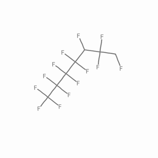 FCC(F)(F)C(F)C(F)(F)C(F)(F)C(F)(F)C(F)(F)F